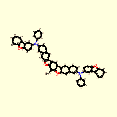 CC(C)c1c2oc3cc4cc(N(c5ccccc5)c5ccc6oc7ccccc7c6c5)ccc4cc3c2cc2c1oc1cc3cc(N(c4ccccc4)c4ccc5oc6ccccc6c5c4)ccc3cc12